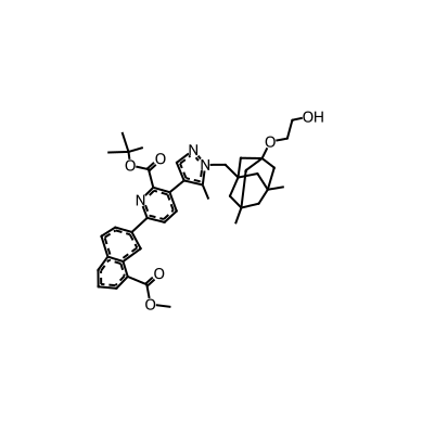 COC(=O)c1cccc2ccc(-c3ccc(-c4cnn(CC56CC7(C)CC(C)(C5)CC(OCCO)(C7)C6)c4C)c(C(=O)OC(C)(C)C)n3)cc12